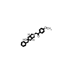 COc1ccc(C(=O)CN2C[C@@H]3CC(O)(Cc4ccccc4)C[C@@H]3C2)cc1